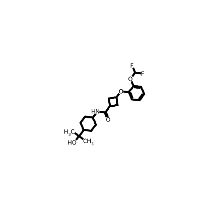 CC(C)(O)C1CCC(NC(=O)C2CC(Oc3ccccc3OC(F)F)C2)CC1